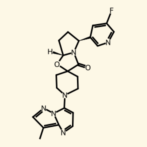 Cc1cnn2c(N3CCC4(CC3)O[C@@H]3CC[C@@H](c5cncc(F)c5)N3C4=O)ccnc12